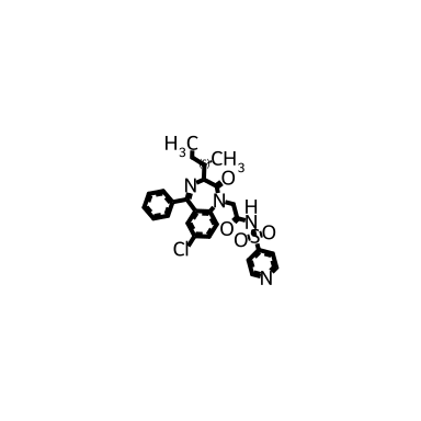 CC[C@H](C)C1N=C(c2ccccc2)c2cc(Cl)ccc2N(CC(=O)NS(=O)(=O)c2ccncc2)C1=O